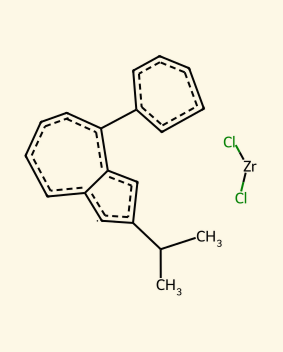 CC(C)c1[c]c2ccccc(-c3ccccc3)c-2c1.[Cl][Zr][Cl]